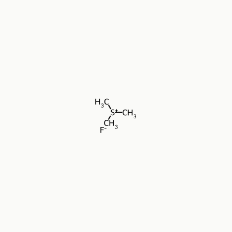 C[S+](C)C.[F-]